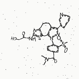 CN(C)C(=O)c1ccc(-n2nc(-c3cccnc3)c3c2-c2sc(NC(=O)CO)nc2CC3)c(S(C)(=O)=O)c1